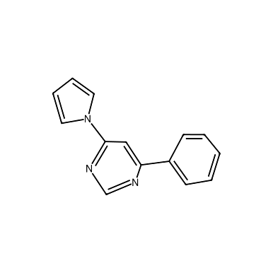 c1ccc(-c2cc(-n3cccc3)ncn2)cc1